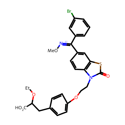 CCOC(Cc1ccc(OCCn2c(=O)sc3cc(/C(=N\OC)c4cccc(Br)c4)ccc32)cc1)C(=O)O